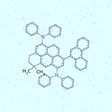 CC1(C)CCc2cc(N(c3ccccc3)c3ccccc3)c3ccc4c(-c5cc6ccccc6c6ccccc56)cc(N(c5ccccc5)c5ccccc5)c5cc1c2c3c45